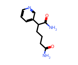 NC(=O)CCCC(C(N)=O)c1cccnc1